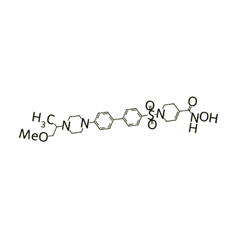 COCC(C)N1CCN(c2ccc(-c3ccc(S(=O)(=O)N4CC=C(C(=O)NO)CC4)cc3)cc2)CC1